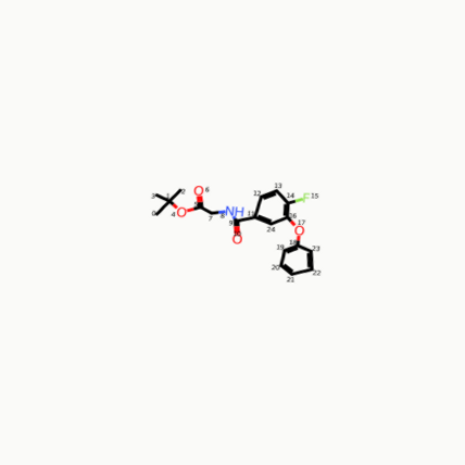 CC(C)(C)OC(=O)CNC(=O)c1ccc(F)c(Oc2ccccc2)c1